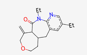 C=C1COCCC2Cc3cc(CC)cnc3N(CC)C(=O)C12